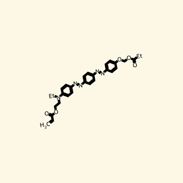 C=CC(=O)OCCN(CC)c1ccc(N=Nc2ccc(N=Nc3ccc(OCOC(=O)CC)cc3)cc2)cc1